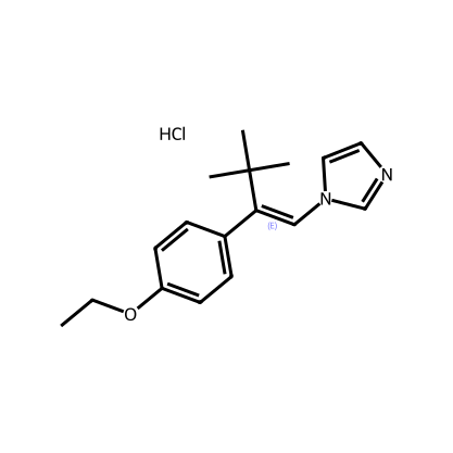 CCOc1ccc(/C(=C/n2ccnc2)C(C)(C)C)cc1.Cl